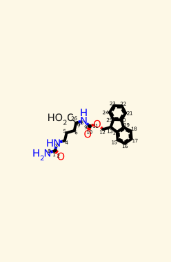 NC(=O)NCCC[C@@H](NC(=O)OCC1c2ccccc2-c2ccccc21)C(=O)O